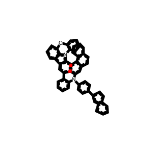 c1ccc2c(c1)Oc1cccc3c4cc(-c5ccccc5N(c5ccc(-c6ccc7ccccc7c6)cc5)c5ccc6c(ccc7ccccc76)c5)ccc4n-2c13